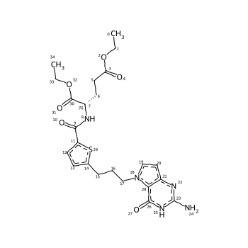 CCOC(=O)CC[C@H](NC(=O)c1ccc(CCCn2ccc3nc(N)[nH]c(=O)c32)s1)C(=O)OCC